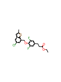 CCOC(=O)CCc1cc(F)c(OCc2cc(Cl)cc3cc(C)sc23)c(F)c1